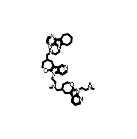 CN(C)CCn1c2c(c3cccnc31)CC(CN(C)CCn1c3c(c4cnccc41)CC(CN(C)CCn1c4c(c5nccnc51)CCCCC4)CCO3)CCO2